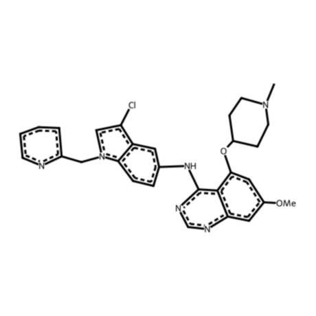 COc1cc(OC2CCN(C)CC2)c2c(Nc3ccc4c(c3)c(Cl)cn4Cc3ccccn3)ncnc2c1